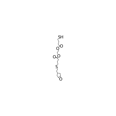 O=C(CCCS)OCCOC(=O)CCCSCCC1CC2OC2C1